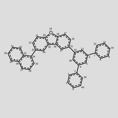 c1ccc(-c2cc(-c3ccccc3)cc(-c3ccc4oc5ccc(-c6cccc7ccccc67)cc5c4c3)c2)cc1